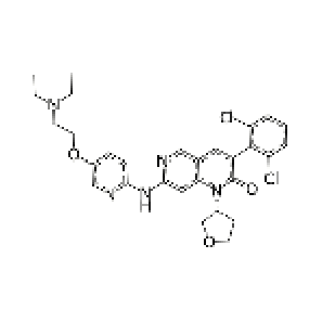 CCN(CC)CCOc1ccc(Nc2cc3c(cn2)cc(-c2c(Cl)cccc2Cl)c(=O)n3[C@@H]2CCOC2)nc1